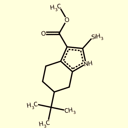 COC(=O)c1c([SiH3])[nH]c2c1CCC(C(C)(C)C)C2